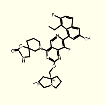 CCc1c(F)ccc2cc(O)cc(-c3ncc4c(N5CCCC6(CNC(=O)O6)C5)nc(OC[C@@]56CCCN5C[C@H](C)C6)nc4c3F)c12